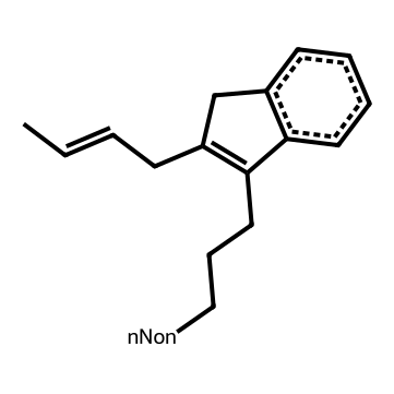 C/C=C/CC1=C(CCCCCCCCCCCC)c2ccccc2C1